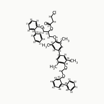 Cc1cc(-c2cc(C)c(OCC(COc3ccccc3-c3ccccc3)OC(=O)CCCl)c(C)c2)cc(C)c1OCOc1ccccc1-c1ccccc1